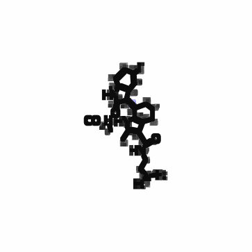 CC(=O)O.CCN(CC)CCNC(=O)c1c(C)[nH]c2c1CCC/C2=C1/C(=O)Nc2ccc(F)cc21